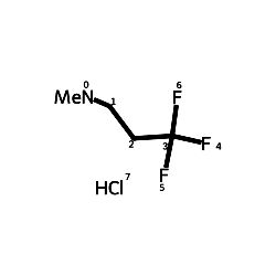 CNCCC(F)(F)F.Cl